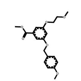 COCCOc1cc(OCc2ccc(OC)cc2)cc(C(=O)OC)c1